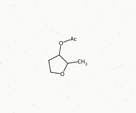 CC(=O)OC1CCOC1C